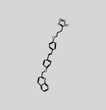 C(=Cc1ccc(OCc2ccc3ccccc3n2)cc1)c1ccc(OCCCc2nnn[nH]2)cc1